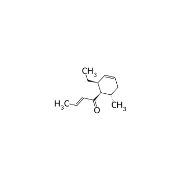 CC=CC(=O)[C@H]1[C@@H](CC)C=CC[C@@H]1C